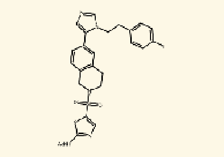 CC(=O)Nc1ncc(S(=O)(=O)N2CCc3cc(-c4cncn4CCc4ccc(F)cc4)ccc3C2)s1